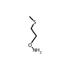 CSCCON